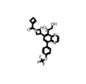 O=C(C1=CCC1)N1CC(c2cc(-c3ccc(OC(F)(F)F)cc3)c3nccnc3c2[C@@H](O)CO)C1